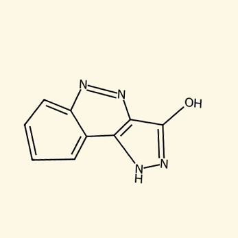 Oc1n[nH]c2c1nnc1ccccc12